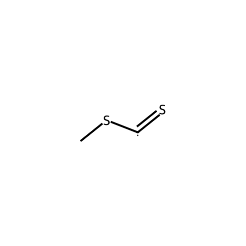 CS[C]=S